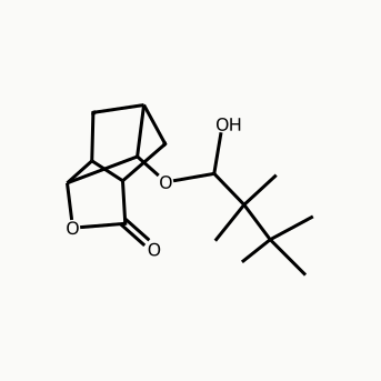 CC(C)(C)C(C)(C)C(O)OC1C2CC3C(=O)OC1C3C2